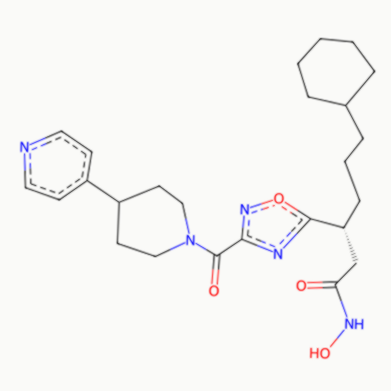 O=C(C[C@@H](CCCC1CCCCC1)c1nc(C(=O)N2CCC(c3ccncc3)CC2)no1)NO